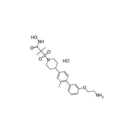 Cc1cc(C2CCN(S(=O)(=O)C(C)(C)C(=O)NO)CC2)ccc1-c1cccc(OCCN)c1.Cl